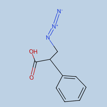 [N-]=[N+]=NCC(C(=O)O)c1ccccc1